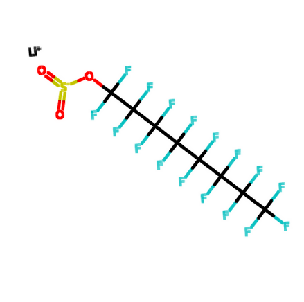 O=[S-](=O)OC(F)(F)C(F)(F)C(F)(F)C(F)(F)C(F)(F)C(F)(F)C(F)(F)C(F)(F)F.[Li+]